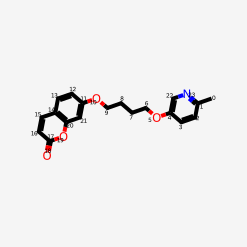 Cc1ccc(OCCCCOc2ccc3ccc(=O)oc3c2)cn1